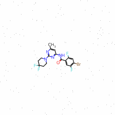 Cc1cc(NC(=O)c2cc(F)c(Br)cc2F)nc(N2CCC(F)(F)CC2)n1